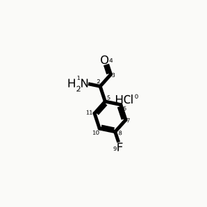 Cl.NC(C=O)c1ccc(F)cc1